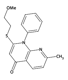 COCCSc1cc(=O)c2ccc(C)nc2n1-c1ccccc1